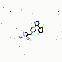 Cc1c(CN2CCN(c3ncccc3-c3cc(F)ccc3F)CC2)cnn1C